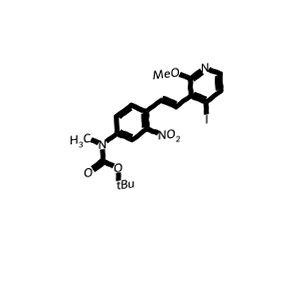 COc1nccc(I)c1C=Cc1ccc(N(C)C(=O)OC(C)(C)C)cc1[N+](=O)[O-]